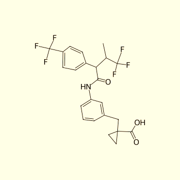 CC(C(C(=O)Nc1cccc(CC2(C(=O)O)CC2)c1)c1ccc(C(F)(F)F)cc1)C(F)(F)F